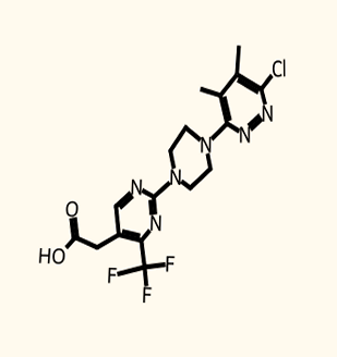 Cc1c(Cl)nnc(N2CCN(c3ncc(CC(=O)O)c(C(F)(F)F)n3)CC2)c1C